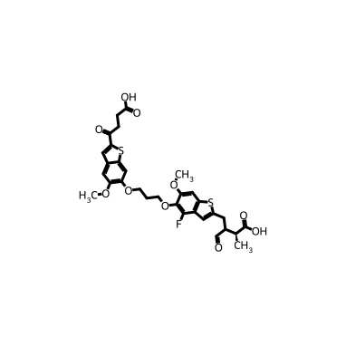 COc1cc2cc(C(=O)CCC(=O)O)sc2cc1OCCCOc1c(OC)cc2sc(CC(C=O)[C@H](C)C(=O)O)cc2c1F